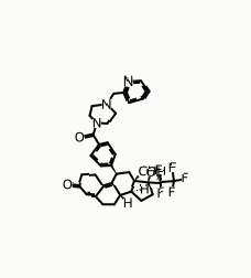 C[C@]12C[C@H](c3ccc(C(=O)N4CCN(Cc5ccccn5)CC4)cc3)C3=C4CCC(=O)C=C4CC[C@H]3[C@@H]1CC[C@@]2(O)C(F)(F)C(F)(F)F